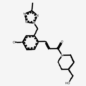 Cc1nnn(Cc2cc(Cl)ccc2C=CC(=O)N2CCC(CO)CC2)n1